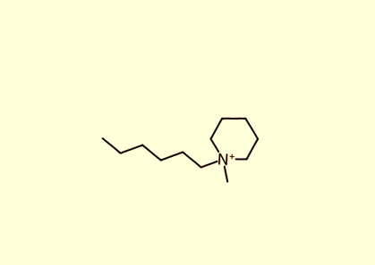 CCCCCC[N+]1(C)CCCCC1